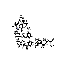 CC1CCCCC1NC(=O)Nc1ccccc1.CC1CCCCC1NC(=O)Nc1ccccc1.CCC/C(=N/OCC)C1=C(O)CC(CC(C)SCC)CC1=O.CCC/C(=N\OCC)C1=C(O)CC(CC(C)SCC)CC1=O.Nc1ncnc(N)n1